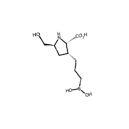 O=C(O)[C@H]1N[C@H](CO)C[C@H]1CCCB(O)O